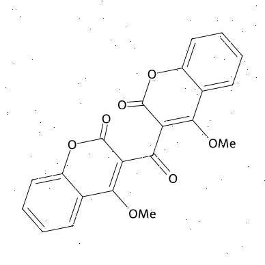 COc1c(C(=O)c2c(OC)c3ccccc3oc2=O)c(=O)oc2ccccc12